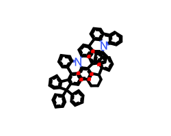 c1ccc(-n2c3ccccc3c3cccc(-c4ccc(N(c5ccccc5-c5cccc6c5-c5ccccc5C6(c5ccccc5)c5ccccc5)c5ccccc5-c5cccc6cccc(C7CCCCC7)c56)cc4)c32)cc1